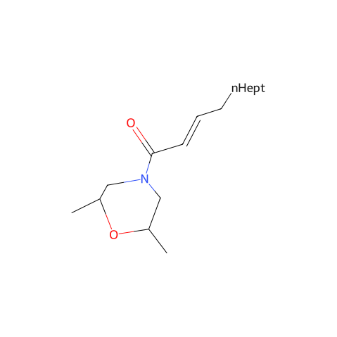 CCCCCCCCC=CC(=O)N1CC(C)OC(C)C1